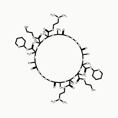 CCC1CC(C)(C(=O)OC2CCCCO2)CC(C)(C(=O)OCCO)CC(C)(C(=O)OCCN(C)C)CC(C)C(=O)OCCOC(=O)C(CC)CC(C)(C(=O)OC2CCCCO2)CC(C)(C(=O)OCCO)CC(C)(C(=O)OCCN(C)C)CC(C)C(=O)OCCOC1=O